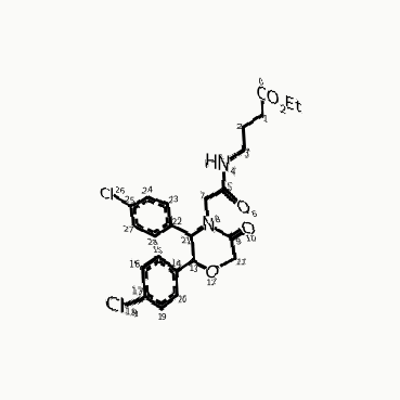 CCOC(=O)CCCNC(=O)CN1C(=O)COC(c2ccc(Cl)cc2)C1c1ccc(Cl)cc1